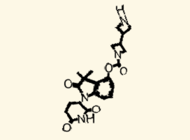 CC1(C)C(=O)N(C2CCC(=O)NC2=O)c2cccc(OC(=O)N3CC(C4CNC4)C3)c21